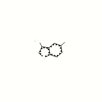 CCCCc1c[nH]c2ccc(CC)cc12